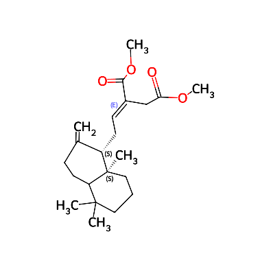 C=C1CCC2C(C)(C)CCC[C@]2(C)[C@H]1C/C=C(\CC(=O)OC)C(=O)OC